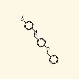 COc1ccc(/N=C/c2ccc(OCc3ccccc3)cc2)cc1